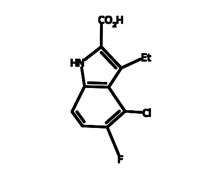 CCc1c(C(=O)O)[nH]c2ccc(F)c(Cl)c12